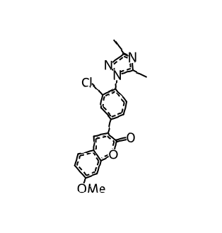 COc1ccc2cc(-c3ccc(-n4nc(C)nc4C)c(Cl)c3)c(=O)oc2c1